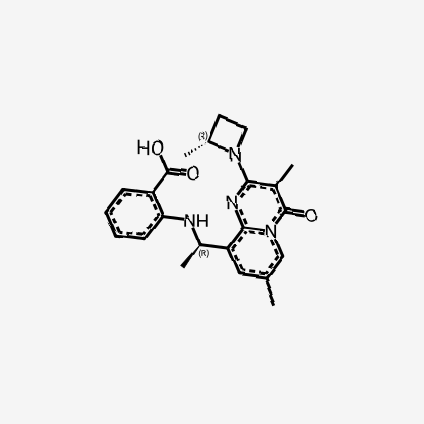 Cc1cc([C@@H](C)Nc2ccccc2C(=O)O)c2nc(N3CC[C@H]3C)c(C)c(=O)n2c1